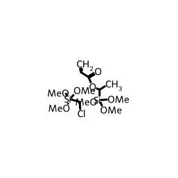 C=CC(=O)OC(C)[Si](OC)(OC)OC.CO[Si](CCl)(OC)OC